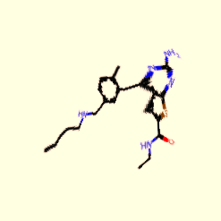 CCCCNCc1ccc(C)c(-c2nc(N)nc3sc(C(=O)NCC)cc23)c1